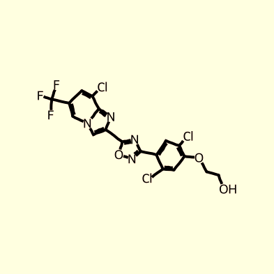 OCCOc1cc(Cl)c(-c2noc(-c3cn4cc(C(F)(F)F)cc(Cl)c4n3)n2)cc1Cl